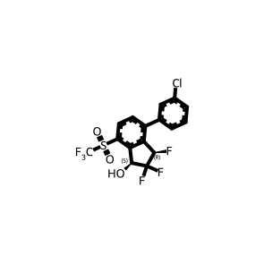 O=S(=O)(c1ccc(-c2cccc(Cl)c2)c2c1[C@H](O)C(F)(F)[C@@H]2F)C(F)(F)F